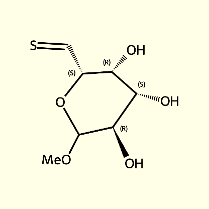 COC1O[C@H](C=S)[C@H](O)[C@H](O)[C@H]1O